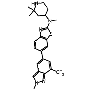 CN(c1nc2ccc(-c3cc(C(F)(F)F)c4nn(C)cc4c3)cc2s1)C1CCNC(C)(C)C1